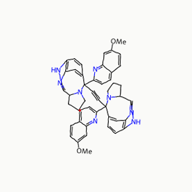 COc1ccc2ccc(C3(C#CC4(c5ccc6ccc(OC)cc6n5)c5ccc6[nH]c(nc6c5)C5CCCN54)c4ccc5[nH]c(nc5c4)C4CCCN43)nc2c1